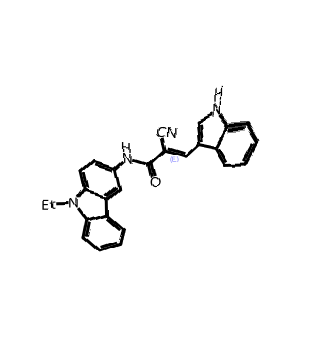 CCn1c2ccccc2c2cc(NC(=O)/C(C#N)=C/c3c[nH]c4ccccc34)ccc21